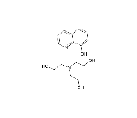 OCCN(CCO)CCO.Oc1cccc2cccnc12